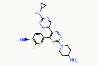 N#Cc1ccc(-c2nc(N3CCC(N)CC3)ncc2-c2cnc(NC3CC3)nc2)cc1F